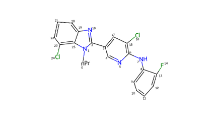 CCCn1c(-c2cnc(Nc3ccccc3F)c(Cl)c2)nc2cccc(Cl)c21